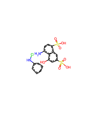 ClNc1ccccc1.Nc1ccc(S(=O)(=O)O)c2cc(S(=O)(=O)O)cc(O)c12